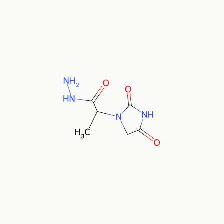 CC(C(=O)NN)N1CC(=O)NC1=O